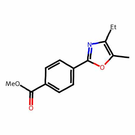 CCc1nc(-c2ccc(C(=O)OC)cc2)oc1C